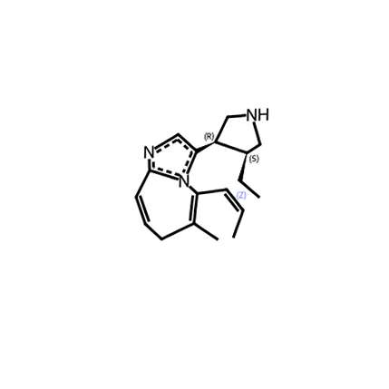 C/C=C\C1=C(C)CC=Cc2ncc([C@H]3CNC[C@H]3CC)n21